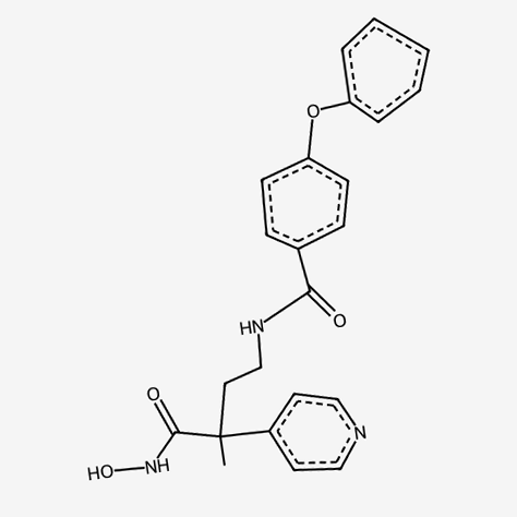 CC(CCNC(=O)c1ccc(Oc2ccccc2)cc1)(C(=O)NO)c1ccncc1